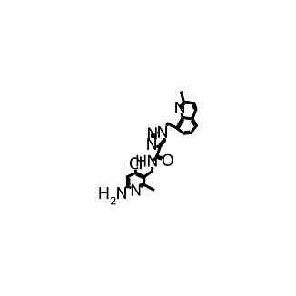 Cc1ccc2cccc(Cn3cc(C(=O)NCc4c(Cl)cc(N)nc4C)nn3)c2n1